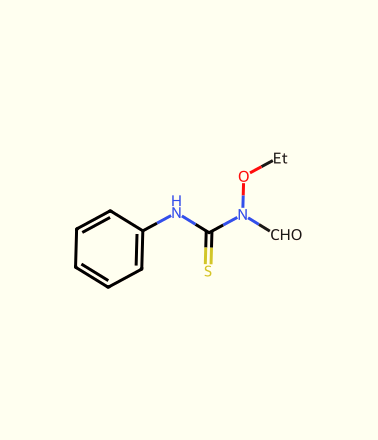 CCON(C=O)C(=S)Nc1ccccc1